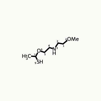 COCCNCCOC(C)S